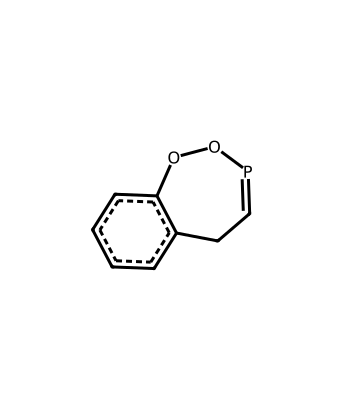 C1=POOc2ccccc2C1